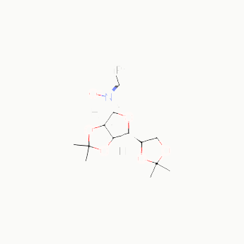 CC(C)C=[N+]([O-])[C@@H]1O[C@@H](C2COC(C)(C)O2)[C@H]2OC(C)(C)O[C@H]21